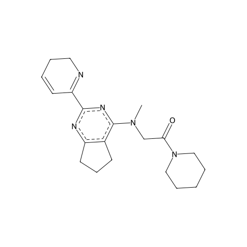 CN(CC(=O)N1CCCCC1)c1nc(C2=NCCC=C2)nc2c1CCC2